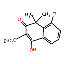 CCOC(=O)C1=C(O)c2cccc(Cl)c2C(C)(C)C1=O